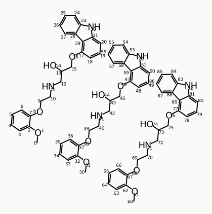 COc1ccccc1OCCNCC(O)COc1cccc2[nH]c3ccccc3c12.COc1ccccc1OCCNCC(O)COc1cccc2[nH]c3ccccc3c12.COc1ccccc1OCCNCC(O)COc1cccc2[nH]c3ccccc3c12